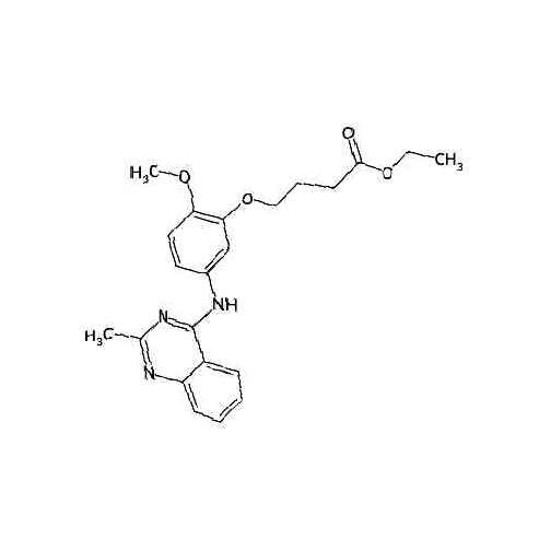 CCOC(=O)CCCOc1cc(Nc2nc(C)nc3ccccc23)ccc1OC